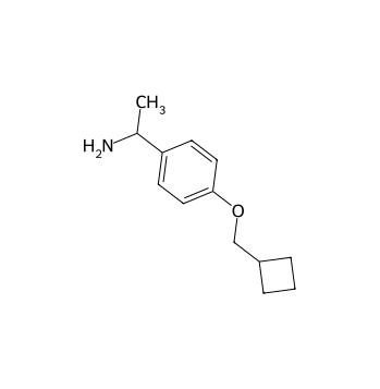 CC(N)c1ccc(OCC2CCC2)cc1